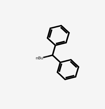 CCCC[C](c1ccccc1)c1ccccc1